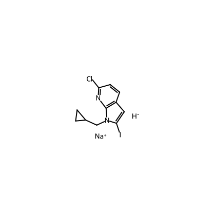 Clc1ccc2cc(I)n(CC3CC3)c2n1.[H-].[Na+]